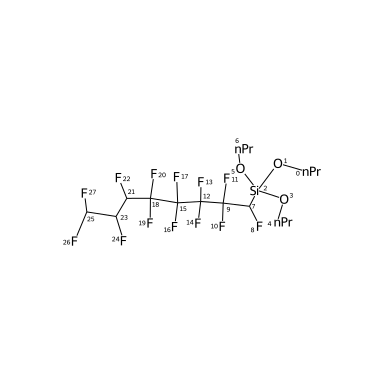 CCCO[Si](OCCC)(OCCC)C(F)C(F)(F)C(F)(F)C(F)(F)C(F)(F)C(F)C(F)C(F)F